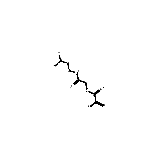 C=C(C)C(=O)OCC(=O)OCCC(C)C(F)(F)F